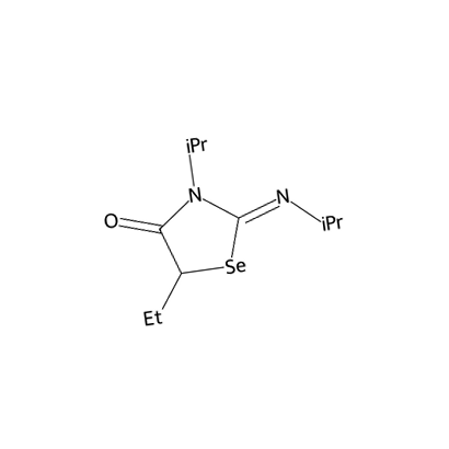 CCC1[Se]C(=NC(C)C)N(C(C)C)C1=O